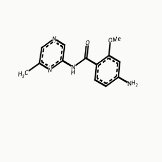 COc1cc(N)ccc1C(=O)Nc1cncc(C)n1